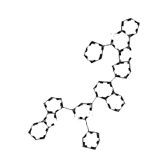 c1ccc(-c2nc(-c3ccc(-c4ccc5oc6c7ccccc7nc(-c7ccccc7)c6c5c4)c4ccccc34)cc(-c3cccc4c3sc3ccccc34)n2)cc1